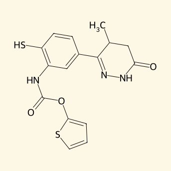 CC1CC(=O)NN=C1c1ccc(S)c(NC(=O)Oc2cccs2)c1